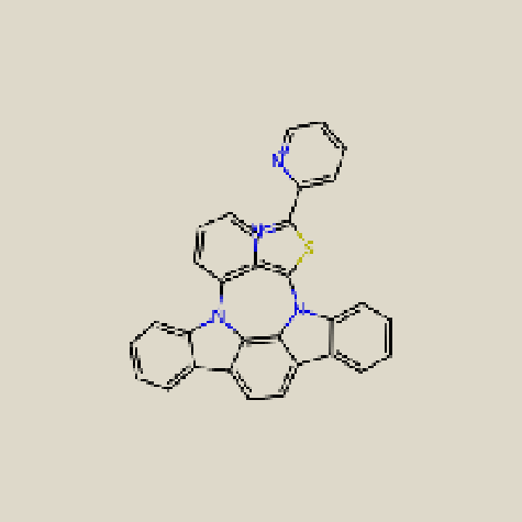 c1ccc(-n2c3ccccc3c3ccc4c5ccccc5n(-c5cnc(-c6ccccn6)s5)c4c32)cc1